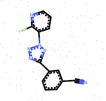 N#Cc1cccc(-c2nnn(-c3cccnc3F)n2)c1